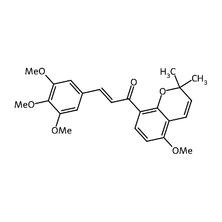 COc1ccc(C(=O)C=Cc2cc(OC)c(OC)c(OC)c2)c2c1C=CC(C)(C)O2